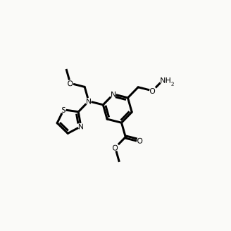 COCN(c1cc(C(=O)OC)cc(CON)n1)c1nccs1